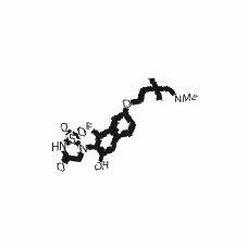 CNCC(C)(C)CCOc1ccc2cc(O)c(N3CC(=O)NS3(=O)=O)c(F)c2c1